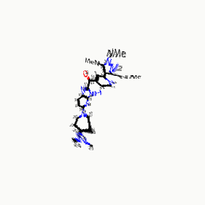 CNc1nn(NC)c(NC)c1-c1cc(C(=O)c2nc3ccc(N4CCC(N(C)C)CC4)nc3[nH]2)ccn1